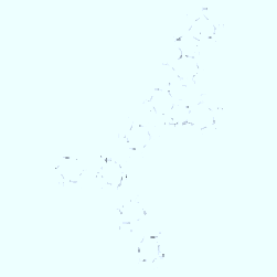 c1ccc(-c2cc(-c3ccc(-c4cccnc4)cc3)nc(-c3ccc(-c4ccc(-c5ccc6c(c5)sc5ccccc56)c5c4oc4ccccc45)cc3)n2)cc1